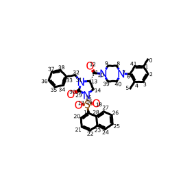 Cc1ccc(C)c(N2CCN(C(=O)[C@@H]3CN(S(=O)(=O)c4cccc5ccccc45)C(=O)N3Cc3ccccc3)CC2)c1